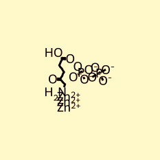 NCC(=O)CCC(=O)O.O=P([O-])([O-])[O-].O=P([O-])([O-])[O-].[Zn+2].[Zn+2].[Zn+2]